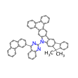 CC1(C)c2ccccc2-c2cc3c4cc5c6ccccc6c6ccccc6c5cc4n(-c4nc(-c5ccc6ccc7ccccc7c6c5)c5ccccc5n4)c3cc21